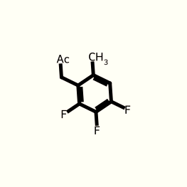 CC(=O)Cc1c(C)cc(F)c(F)c1F